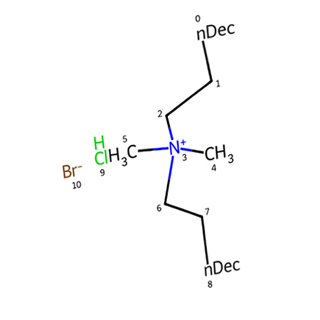 CCCCCCCCCCCC[N+](C)(C)CCCCCCCCCCCC.Cl.[Br-]